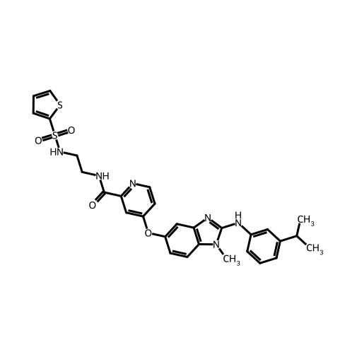 CC(C)c1cccc(Nc2nc3cc(Oc4ccnc(C(=O)NCCNS(=O)(=O)c5cccs5)c4)ccc3n2C)c1